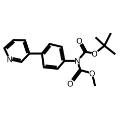 COC(=O)N(C(=O)OC(C)(C)C)c1ccc(-c2cccnc2)cc1